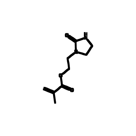 C=C(C)C(=O)OCCN1CCNC1=O